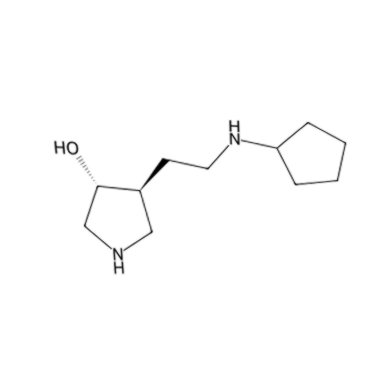 O[C@H]1CNC[C@@H]1CCNC1CCCC1